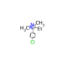 CCc1c(C)nn(C)c1-c1ccc(Cl)cc1